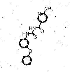 Nc1ccc(C(=O)NC(=S)Nc2cccc(Oc3ccccc3)c2)cn1